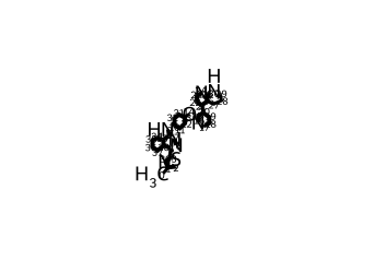 Cc1csc(-c2nnc(Nc3ccc(Oc4ncccc4-c4ccnc5c4CCCN5)cc3)c3ccccc23)n1